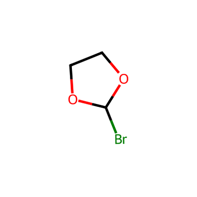 BrC1OCCO1